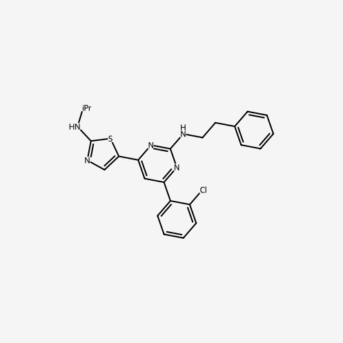 CC(C)Nc1ncc(-c2cc(-c3ccccc3Cl)nc(NCCc3ccccc3)n2)s1